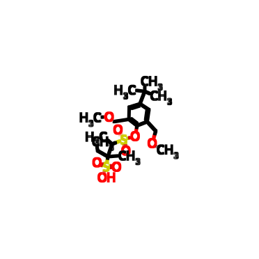 CCC(C)(C(C)S(=O)(=O)Oc1c(COC)cc(C(C)(C)C)cc1COC)S(=O)(=O)O